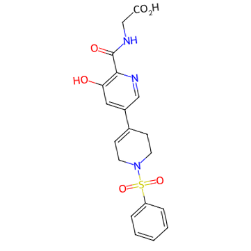 O=C(O)CNC(=O)c1ncc(C2=CCN(S(=O)(=O)c3ccccc3)CC2)cc1O